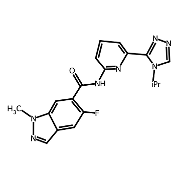 CC(C)n1cnnc1-c1cccc(NC(=O)c2cc3c(cnn3C)cc2F)n1